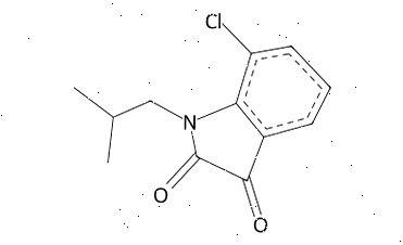 CC(C)CN1C(=O)C(=O)c2cccc(Cl)c21